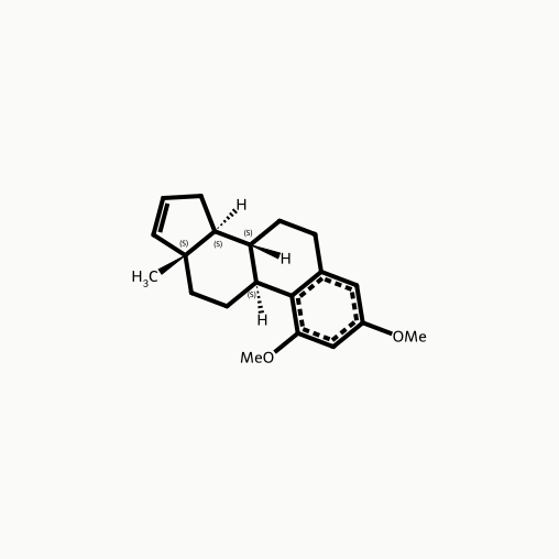 COc1cc2c(c(OC)c1)[C@H]1CC[C@]3(C)C=CC[C@H]3[C@@H]1CC2